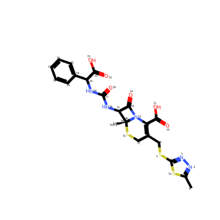 Cc1nnc(SCC2=C(C(=O)O)N3C(=O)C(NC(=O)NC(C(=O)O)c4ccccc4)[C@H]3SC2)s1